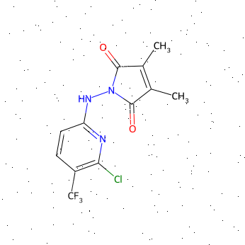 CC1=C(C)C(=O)N(Nc2ccc(C(F)(F)F)c(Cl)n2)C1=O